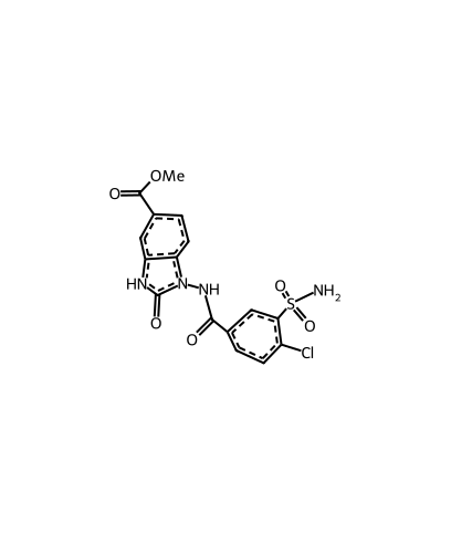 COC(=O)c1ccc2c(c1)[nH]c(=O)n2NC(=O)c1ccc(Cl)c(S(N)(=O)=O)c1